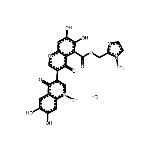 Cl.Cn1ccnc1COC(=O)c1c(O)c(O)cc2occ(-c3cn(C)c4cc(O)c(O)cc4c3=O)c(=O)c12